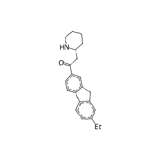 CCc1ccc2c(c1)Cc1cc(C(=O)CC3CCCCN3)ccc1-2